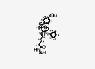 CC(C)(C)c1ccc(S(=O)(=O)N[C@@H](CCCCCC(=O)NO)C(=O)Nc2ccccc2)cc1